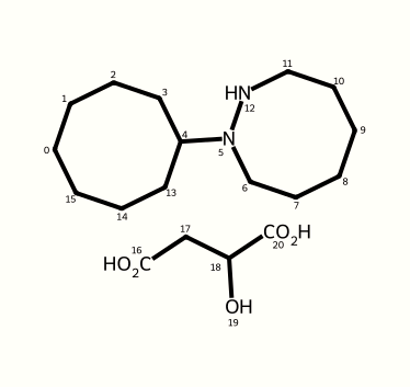 C1CCCC(N2CCCCCCN2)CCC1.O=C(O)CC(O)C(=O)O